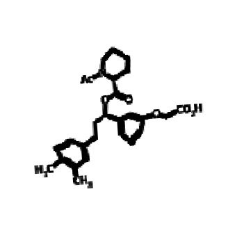 CC(=O)N1CCCC[C@H]1C(=O)O[C@H](CCc1ccc(C)c(C)c1)c1cccc(OCC(=O)O)c1